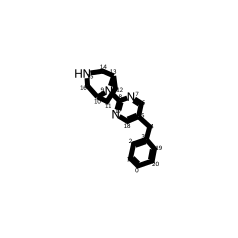 c1ccc(Cc2cnc(N3C4CCC3CNC4)nc2)cc1